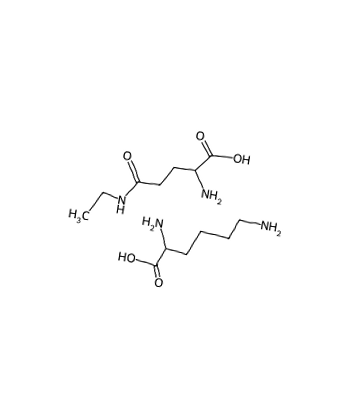 CCNC(=O)CCC(N)C(=O)O.NCCCCC(N)C(=O)O